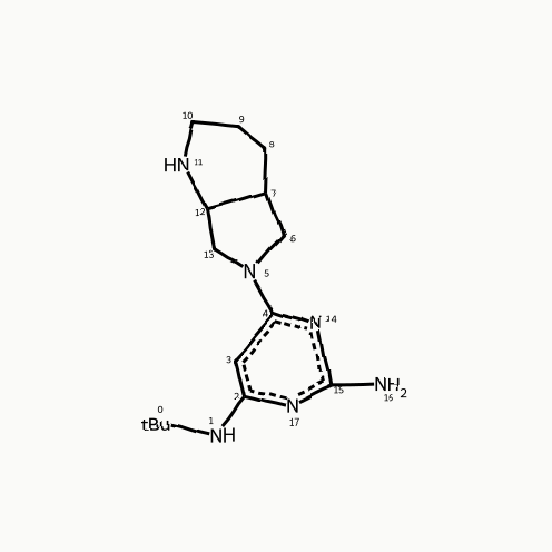 CC(C)(C)Nc1cc(N2CC3CCCNC3C2)nc(N)n1